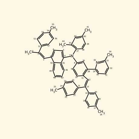 C/C(=C/c1ccc(N(c2ccc(C=C(c3ccc(C)cc3)c3ccc(C)cc3)c(-c3cccc(C)n3)c2)c2ccc(C)cc2C)c2ccccc12)c1ccc(C)cc1